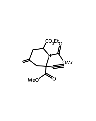 C#CC1(C(=O)OC)CC(=C)CC(C(=O)OCC)N1C(=O)OC